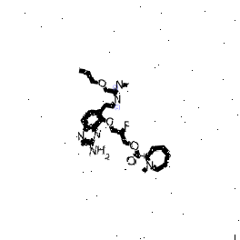 CCCOCC(/N=C\Cc1ccc2ncc(N)nc2c1OCC(F)COC(=O)[C@@H]1CCCCCN1C)=N/C